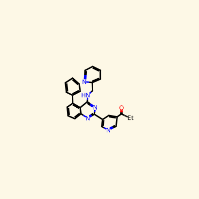 CCC(=O)c1cncc(-c2nc(NCc3ccccn3)c3c(-c4ccccc4)cccc3n2)c1